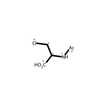 CC(=O)NC(CCl)C(=O)O